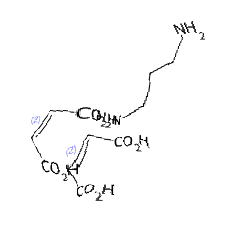 NCCCN.O=C(O)/C=C\C(=O)O.O=C(O)/C=C\C(=O)O